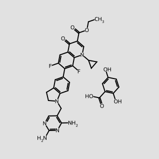 CCOC(=O)c1cn(C2CC2)c2c(F)c(-c3ccc4c(c3)CCN4Cc3cnc(N)nc3N)c(F)cc2c1=O.O=C(O)c1cc(O)ccc1O